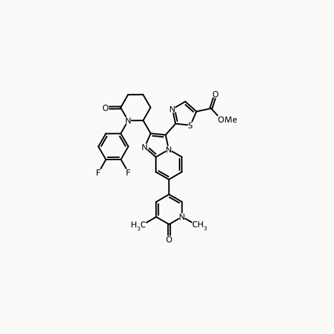 COC(=O)c1cnc(-c2c(C3CCCC(=O)N3c3ccc(F)c(F)c3)nc3cc(-c4cc(C)c(=O)n(C)c4)ccn23)s1